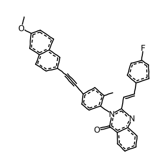 COc1ccc2cc(C#Cc3ccc(-n4c(C=Cc5ccc(F)cc5)nc5ccccc5c4=O)c(C)c3)ccc2c1